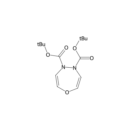 CC(C)(C)OC(=O)n1ccoccn1C(=O)OC(C)(C)C